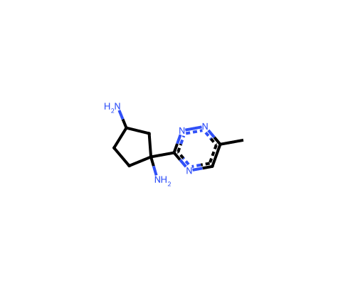 Cc1cnc(C2(N)CCC(N)C2)nn1